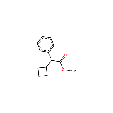 CCCOC(=O)[C@@H](c1ccccc1)C1CCC1